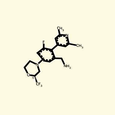 Cc1cc(-c2c(F)cc(N3CCO[C@H](C(F)(F)F)C3)cc2CN)cc(C)n1